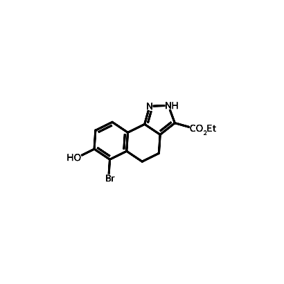 CCOC(=O)c1[nH]nc2c1CCc1c-2ccc(O)c1Br